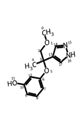 COCC(C)(Oc1c[c]cc(O)c1)c1cn[nH]c1